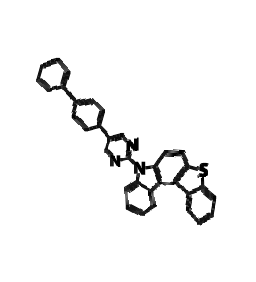 c1ccc(-c2ccc(-c3cnc(-n4c5ccccc5c5c6c(ccc54)sc4ccccc46)nc3)cc2)cc1